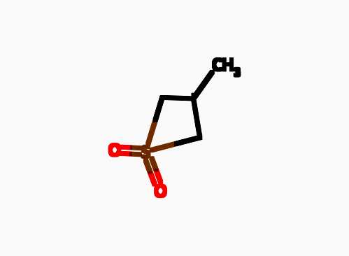 C[C]1CS(=O)(=O)C1